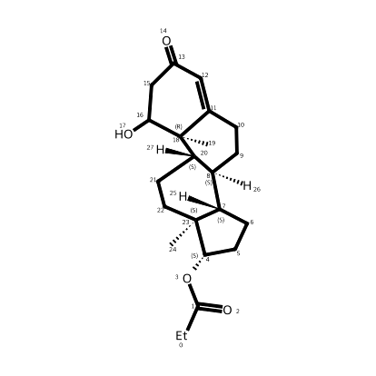 CCC(=O)O[C@H]1CC[C@H]2[C@@H]3CCC4=CC(=O)CC(O)[C@]4(C)[C@H]3CC[C@]12C